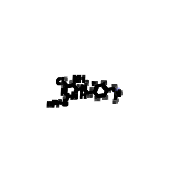 CCCSc1nc(Cl)c(N)c(NCc2ccc(/C=N\C)cc2)n1